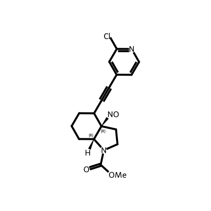 COC(=O)N1CC[C@@]2(N=O)C(C#Cc3ccnc(Cl)c3)CCC[C@@H]12